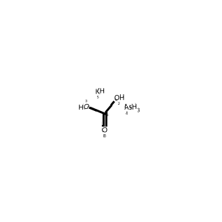 O=C(O)O.[AsH3].[KH]